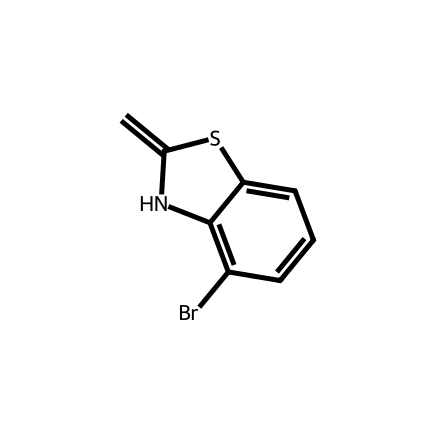 C=C1Nc2c(Br)cccc2S1